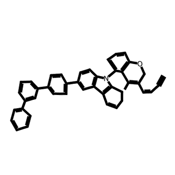 C#C/C=C\C1=C(C)c2c(cccc2-n2c3c(c4cc(-c5ccc(-c6cccc(-c7ccccc7)c6)cc5)ccc42)C=CCC3)OC1